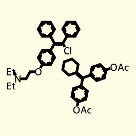 CC(=O)Oc1ccc(C(=C2CCCCC2)c2ccc(OC(C)=O)cc2)cc1.CCN(CC)CCOc1ccc(/C(=C(\Cl)c2ccccc2)c2ccccc2)cc1